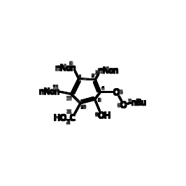 CCCCCCCCCc1c(CCCCCCCCC)c(OOCCCC)c(O)c(C(=O)O)c1CCCCCCCCC